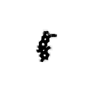 COc1cc2c(cc1[N+](=O)[O-])C=CC1(O2)N(C)c2ccc(C)cc2C1(C)C